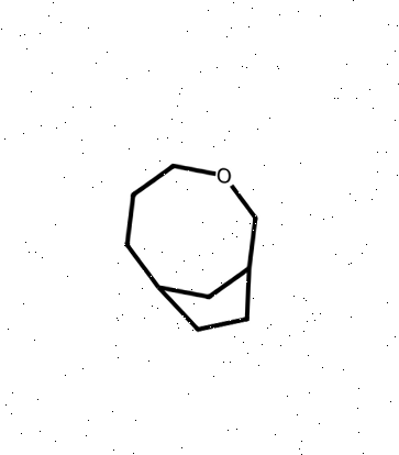 C1COCC2CCC(C1)C2